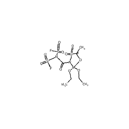 CCO[Si](OCC)(OCC)N(C(=O)N(S(=O)(=O)F)S(=O)(=O)F)S(=O)(=O)F